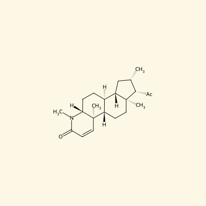 CC(=O)[C@H]1[C@@H](C)C[C@H]2[C@@H]3CC[C@H]4N(C)C(=O)C=C[C@]4(C)[C@H]3CC[C@@]21C